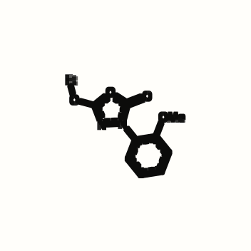 CCOc1nn(-c2ccccc2OC)c(=O)o1